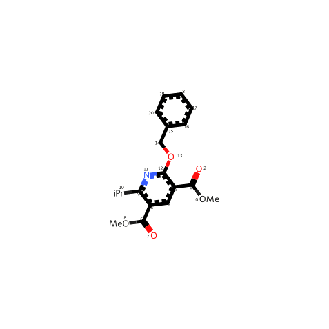 COC(=O)c1cc(C(=O)OC)c(C(C)C)nc1OCc1ccccc1